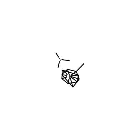 CN(C)C.C[C]12[CH]3[CH]4[CH]5[CH]1[Fe]45321678[CH]2[CH]1[CH]6[CH]7[CH]28